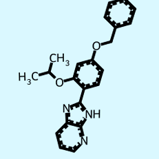 CC(C)Oc1cc(OCc2ccccc2)ccc1-c1nc2cccnc2[nH]1